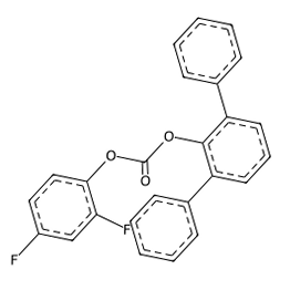 O=C(Oc1ccc(F)cc1F)Oc1c(-c2ccccc2)cccc1-c1ccccc1